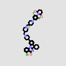 O=C1CCCC(=O)N1c1c(F)cc(N2CCC(F)(CN3CCC(CN4CCC(c5ccc6c(c5)-n5c(nc(=O)c7c(Br)cccc75)C65CCCCC5)CC4)CC3)CC2)cc1F